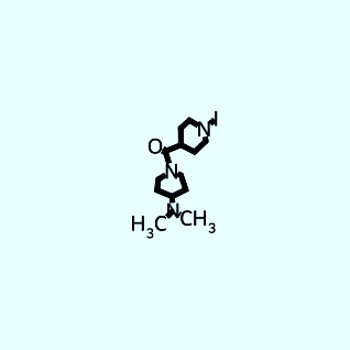 CN(C)C1CCN(C(=O)C2CCN(I)CC2)CC1